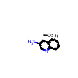 CC(=O)O.Nc1cnc2ccccc2c1